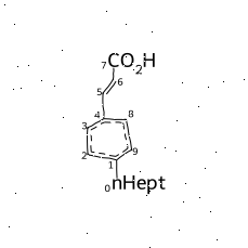 CCCCCCCc1ccc(C=CC(=O)O)cc1